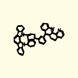 c1ccc(-n2c3ccccc3c3ccc4c5ccccc5n(-c5ccc(-c6cccc(-c7c8ccccc8nc8c7ccc7cccnc78)c6)cc5)c4c32)cc1